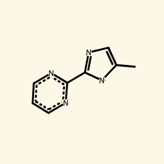 CC1=CN=C(c2ncccn2)[N]1